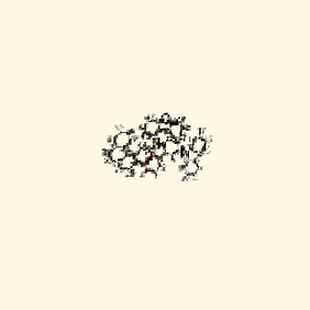 c1ccc(-c2cc(-n3c4ccccc4c4ccccc43)ccc2N(c2ccc3ccc4ccc5ccccc5c4c3c2)c2cccc3oc4ccccc4c23)cc1